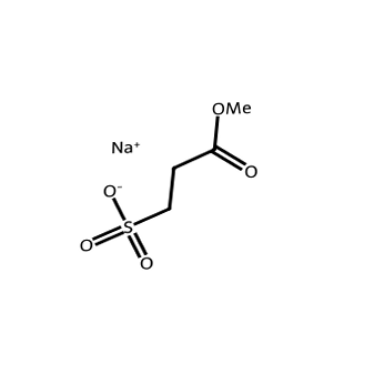 COC(=O)CCS(=O)(=O)[O-].[Na+]